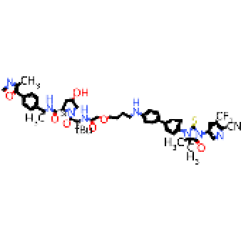 Cc1ncoc1-c1ccc([C@H](C)NC(=O)[C@@H]2C[C@@H](O)CN2C(=O)[C@@H](NC(=O)COCCCCNc2ccc(-c3ccc(N4C(=S)N(c5cnc(C#N)c(C(F)(F)F)c5)C(=O)C4(C)C)cc3)cc2)C(C)(C)C)cc1